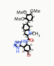 COc1ccc(-c2ccc3cc(C(=O)Nc4ccc(Br)cc4-c4nnn[nH]4)n(C)c3c2)c(OC)c1OC